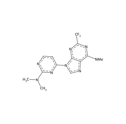 CNc1nc(C(F)(F)F)nc2c1ncn2-c1ccnc(N(C)C)n1